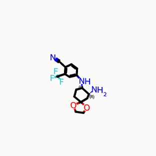 N#Cc1ccc(N[C@@H]2CCC3(C[C@H]2N)OCCO3)cc1C(F)(F)F